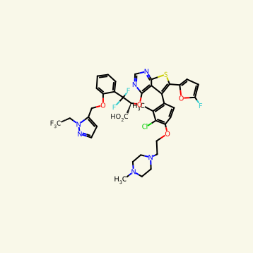 Cc1c(-c2c(-c3ccc(F)o3)sc3ncnc(O[C@@H](C(=O)O)C(F)(F)c4ccccc4OCc4ccnn4CC(F)(F)F)c23)ccc(OCCN2CCN(C)CC2)c1Cl